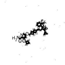 NC(=O)c1ncc(OCC2CC3(CC(C=Cc4c(-c5ccccc5C(F)(F)F)noc4C4CC4)C3)C2)cc1OC1CCC1